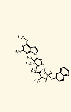 CSc1nc(N)nc2c1ncn2[C@@H]1O[C@H](COP(=O)(NC(C)C(=O)O)Oc2ccc3ncccc3c2)[C@@H](O)[C@@]1(C)O